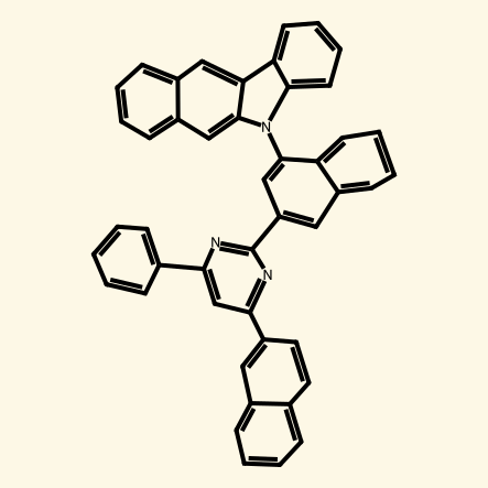 c1ccc(-c2cc(-c3ccc4ccccc4c3)nc(-c3cc(-n4c5ccccc5c5cc6ccccc6cc54)c4ccccc4c3)n2)cc1